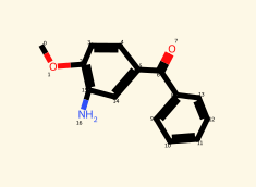 COc1ccc(C(=O)c2ccccc2)cc1N